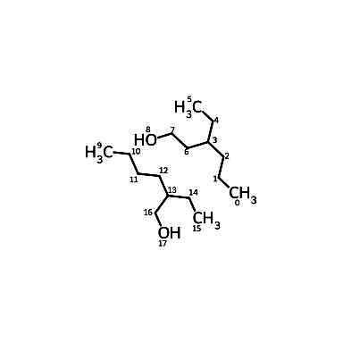 CCCC(CC)CCO.CCCCC(CC)CO